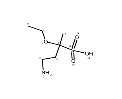 CCOC(C)(CCN)S(=O)(=O)O